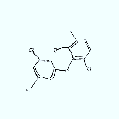 Cc1ccc(Cl)c(Oc2cc(Cl)cc(C#N)c2)c1Cl